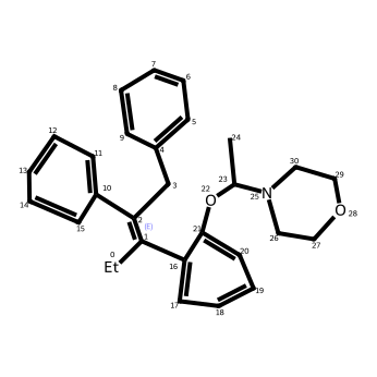 CC/C(=C(/Cc1ccccc1)c1ccccc1)c1ccccc1OC(C)N1CCOCC1